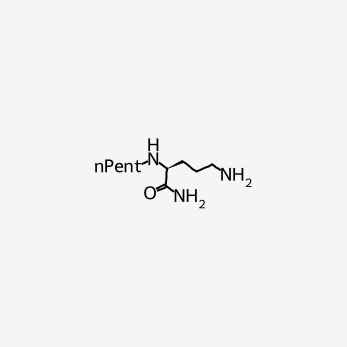 CCCCCN[C@@H](CCCN)C(N)=O